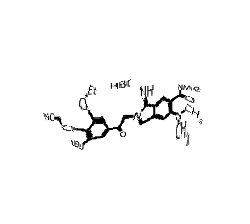 Br.CCOc1cc(C(=O)CN2Cc3cc(N(C)C)c(C(=O)NC)cc3C2=N)cc(C(C)(C)C)c1OCC#N